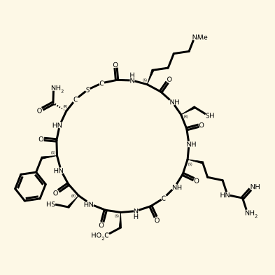 CNCCCC[C@@H]1NC(=O)CSC[C@@H](C(N)=O)NC(=O)[C@H](Cc2ccccc2)NC(=O)[C@H](CS)NC(=O)[C@H](CC(=O)O)NC(=O)CNC(=O)[C@H](CCCNC(=N)N)NC(=O)[C@H](CS)NC1=O